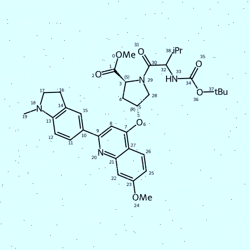 COC(=O)[C@@H]1C[C@@H](Oc2cc(-c3ccc4c(c3)CCN4C)nc3cc(OC)ccc23)CN1C(=O)C(NC(=O)OC(C)(C)C)C(C)C